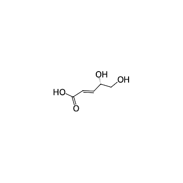 O=C(O)/C=C/[C@H](O)CO